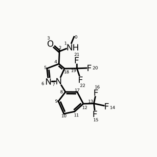 CNC(=O)c1cnn(-c2cccc(C(F)(F)F)c2)c1C(F)(F)F